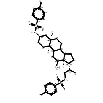 Cc1ccc(S(=O)(=O)OCC(C)[C@H]2CCC3C4CC[C@@H]5C[C@H](OS(=O)(=O)c6ccc(C)cc6)CC[C@]5(C)C4C[C@H](O)[C@@]32C)cc1